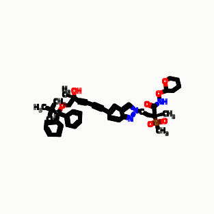 CC(C)(C)[Si](OC[C@](C)(O)C#CC#Cc1ccc2nn(CC[C@](C)(C(=O)NOC3CCCCO3)S(C)(=O)=O)cc2c1)(c1ccccc1)c1ccccc1